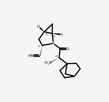 N=C[C@@H]1C[C@@H]2C[C@@H]2N1C(=O)[C@@H](N)C12CCC(CC1)C2